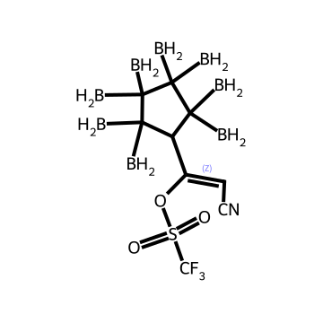 BC1(B)C(/C(=C/C#N)OS(=O)(=O)C(F)(F)F)C(B)(B)C(B)(B)C1(B)B